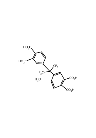 O.O=C(O)c1ccc(C(c2ccc(C(=O)O)c(C(=O)O)c2)(C(F)(F)F)C(F)(F)F)cc1C(=O)O